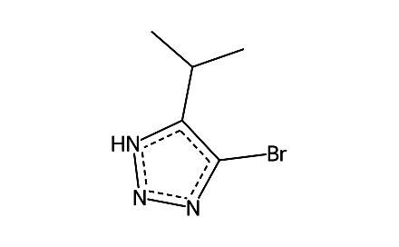 CC(C)c1[nH]nnc1Br